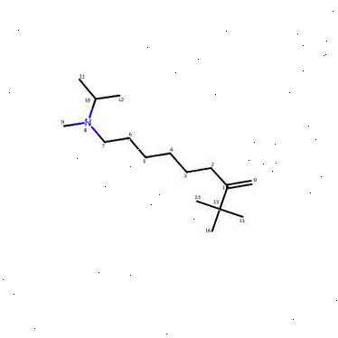 C=C(CCCCCCN(C)C(C)C)C(C)(C)C